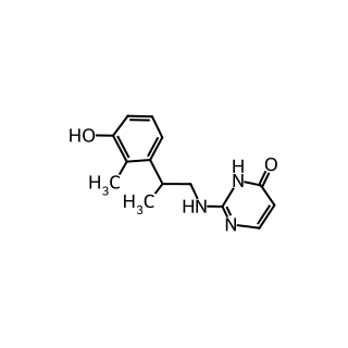 Cc1c(O)cccc1C(C)CNc1nccc(=O)[nH]1